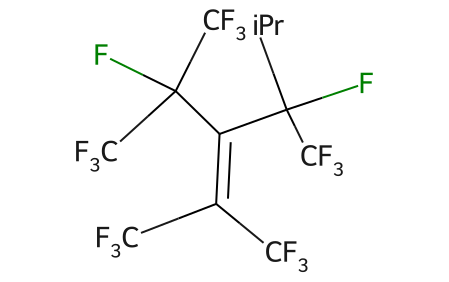 CC(C)C(F)(C(=C(C(F)(F)F)C(F)(F)F)C(F)(C(F)(F)F)C(F)(F)F)C(F)(F)F